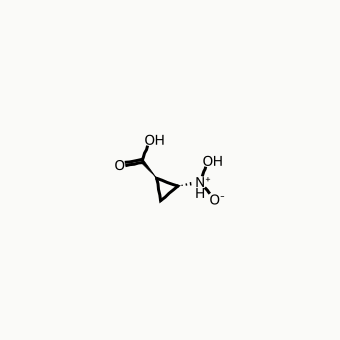 O=C(O)[C@@H]1C[C@H]1[NH+]([O-])O